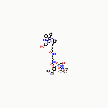 Cc1ncsc1-c1ccc(CNC(=O)[C@@H]2C[C@@H](O)CN2C(=O)[C@@H](NC(=O)C2(F)CC2)C(C)(C)C)c(OCC(=O)NCCCCCNC(=O)CCCCC#Cc2cccc(Cn3c(-c4ccccc4)c(-c4ccccc4)c4c(=N)n(C5CCC(O)CC5)cnc43)c2)c1